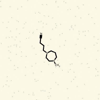 CN1CCCN(CCCC#N)CC1